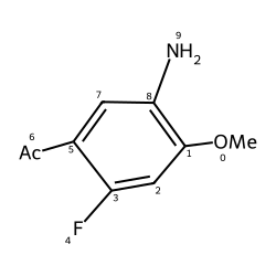 COc1cc(F)c(C(C)=O)cc1N